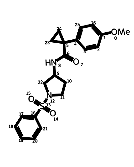 COc1ccc(C2(C(=O)NC3CCN(S(=O)(=O)c4ccccc4)C3)CC2)cc1